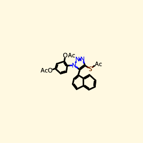 CC(=O)Oc1ccc(-n2nnc(SC(C)=O)c2-c2cccc3ccccc23)c(OC(C)=O)c1